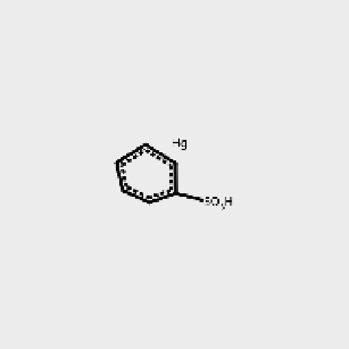 O=S(=O)(O)c1ccccc1.[Hg]